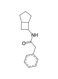 O=C(Cc1ccccc1)NC1CC2CCCC21